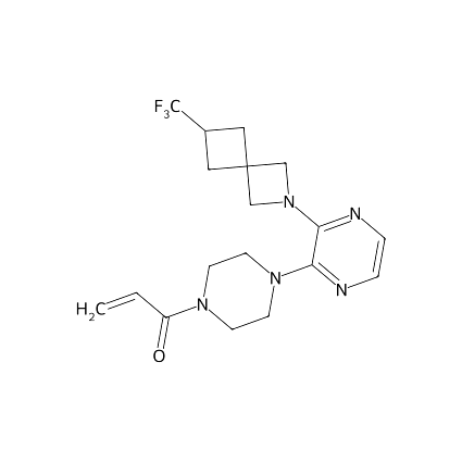 C=CC(=O)N1CCN(c2nccnc2N2CC3(CC(C(F)(F)F)C3)C2)CC1